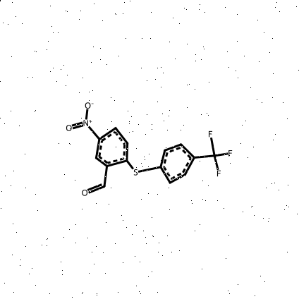 O=Cc1cc([N+](=O)[O-])ccc1Sc1ccc(C(F)(F)F)cc1